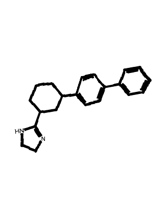 c1ccc(-c2ccc(C3CCCC(C4=NCCN4)C3)cc2)cc1